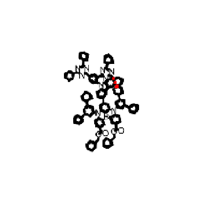 O=C(OCc1ccccc1)c1ccc2c(c1)B1c3cc(C(=O)OCc4ccccc4)ccc3N(c3cc(-c4ccccc4)cc(-c4ccccc4)c3)c3cc(-c4ccc5c(c4)c4ccccc4n5-c4ccc(-c5nc(-c6ccccc6)nc(-c6ccccc6)n5)cc4-c4nc(-c5ccccc5)nc(-c5ccccc5)n4)cc(c31)N2c1cc(-c2ccccc2)cc(-c2ccccc2)c1